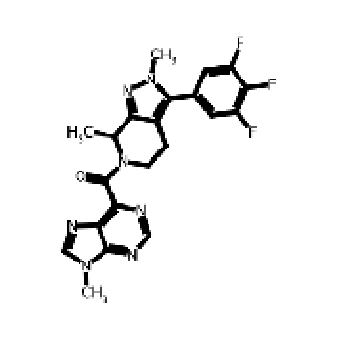 C[C@H]1c2nn(C)c(-c3cc(F)c(F)c(F)c3)c2CCN1C(=O)c1ncnc2c1ncn2C